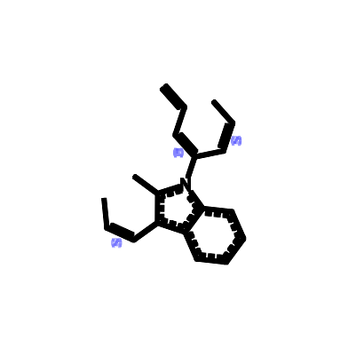 C=C/C=C(\C=C/C)n1c(C)c(/C=C\C)c2ccccc21